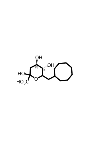 O=C(O)C1(O)C[C@@H](O)[C@H](O)C(CC2CCCCCCC2)O1